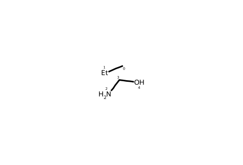 CCC.NCO